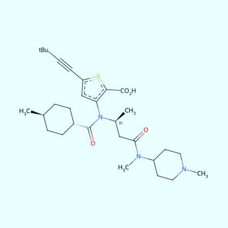 C[C@@H](CC(=O)N(C)C1CCN(C)CC1)N(c1cc(C#CC(C)(C)C)sc1C(=O)O)C(=O)[C@H]1CC[C@H](C)CC1